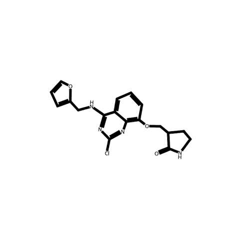 O=C1NCCC1COc1cccc2c(NCc3ccco3)nc(Cl)nc12